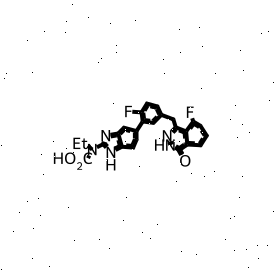 CCN(C(=O)O)c1nc2cc(-c3cc(Cc4n[nH]c(=O)c5cccc(F)c45)ccc3F)ccc2[nH]1